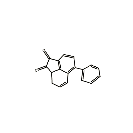 O=C1C(=O)C2CC=Cc3c(-c4ccccc4)ccc1c32